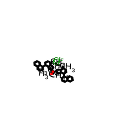 Cc1ccc(-c2cccc3ccccc23)c2c1[CH]([Zr+2]1([CH]3C(C(C)C)=Cc4c(-c5cccc6ccccc56)ccc(C)c43)[CH2][CH2]1)C(C(C)C)=C2.[Cl-].[Cl-]